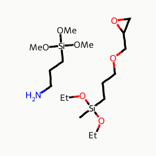 CCO[Si](C)(CCCOCC1CO1)OCC.CO[Si](CCCN)(OC)OC